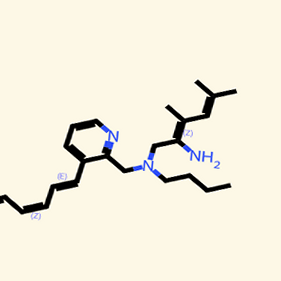 C\C=C/C=C\C=C\c1cccnc1CN(CCCC)C/C(N)=C(\C)C=C(C)C